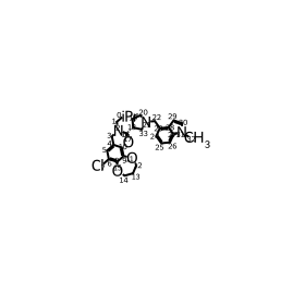 CC(C)CN(Cc1cc(Cl)c2c(c1)OCCCO2)C(=O)[C@@H]1CCN(Cc2cccc3c2ccn3C)C1